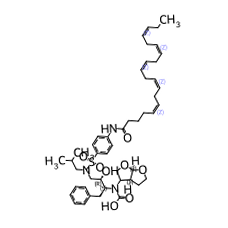 CC/C=C\C/C=C\C/C=C\C/C=C\C/C=C\CCCC(=O)Nc1ccc(S(=O)(=O)N(CC(C)C)C[C@@H](O)[C@H](Cc2ccccc2)N(C(=O)O)C2CO[C@H]3OCC[C@@H]23)cc1